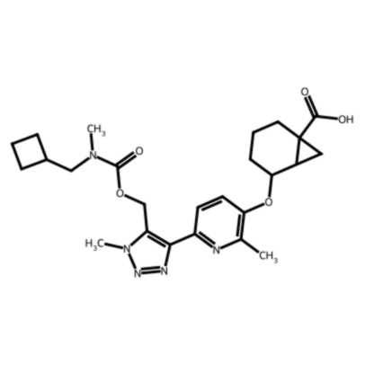 Cc1nc(-c2nnn(C)c2COC(=O)N(C)CC2CCC2)ccc1OC1CCCC2(C(=O)O)CC12